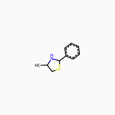 N#CC1CSC(c2ccccc2)N1